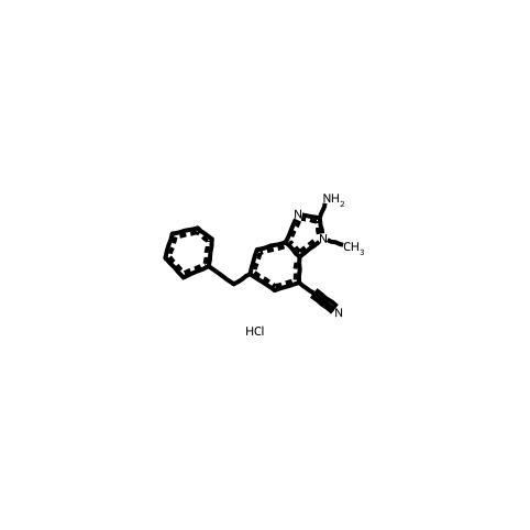 Cl.Cn1c(N)nc2cc(Cc3ccccc3)cc(C#N)c21